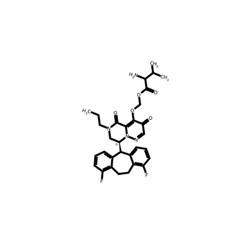 CCCN1C[C@H](C2c3cccc(F)c3CCc3c(F)cccc32)n2ncc(=O)c(OCOC(=O)C(N)C(C)C)c2C1=O